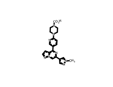 Cn1cc(-c2cn3nccc3c(-c3ccc(N4CCN(C(=O)O)CC4)nc3)n2)cn1